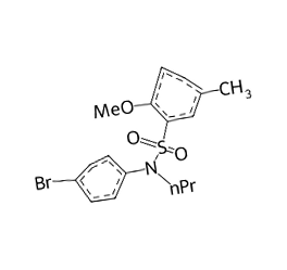 CCCN(c1ccc(Br)cc1)S(=O)(=O)c1cc(C)ccc1OC